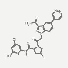 NC(=O)c1nn(CC(=O)N2CC(F)CC2C(=O)Nc2cc(Cl)cc(O)n2)c2ccc(-c3ccnnc3)cc12